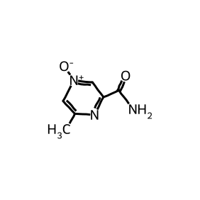 Cc1c[n+]([O-])cc(C(N)=O)n1